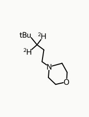 [2H]C([2H])(CCN1CCOCC1)C(C)(C)C